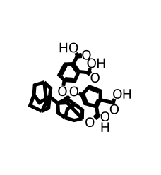 O=C(O)c1ccc(OC2(Oc3ccc(C(=O)O)c(C(=O)O)c3)C3CC4CC(C3)CC2(C23CC5CC(CC(C5)C2)C3)C4)cc1C(=O)O